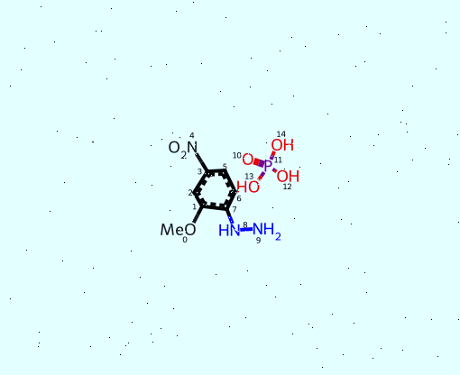 COc1cc([N+](=O)[O-])ccc1NN.O=P(O)(O)O